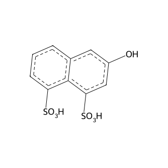 O=S(=O)(O)c1cccc2cc(O)cc(S(=O)(=O)O)c12